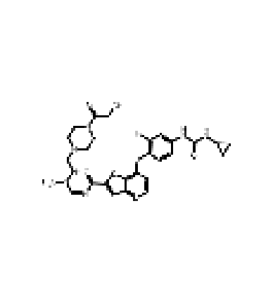 C=C(/N=C\N(C)CCN1CCN(C(=O)CO)CC1)c1cc2nccc(Oc3ccc(NC(=O)NC4CC4)cc3F)c2s1